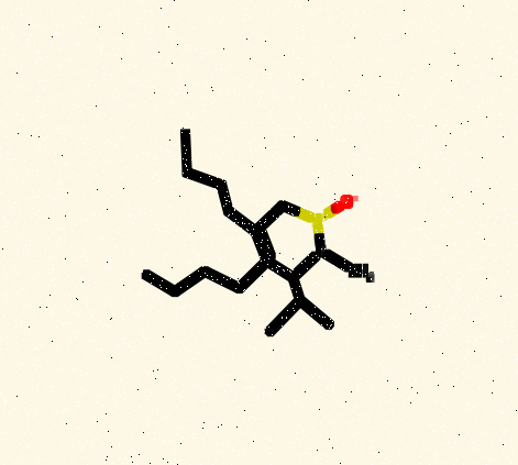 BB1C(C(C)C)C(CCCC)=C(CCCC)C[S+]1[O-]